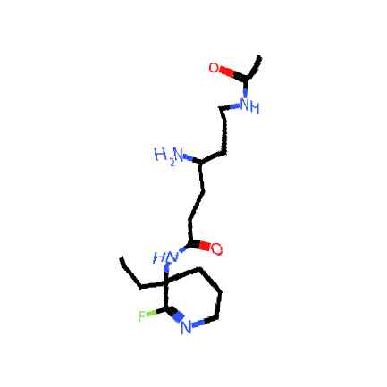 CCC1(NC(=O)CCC(N)CCNC(C)=O)CCCN=C1F